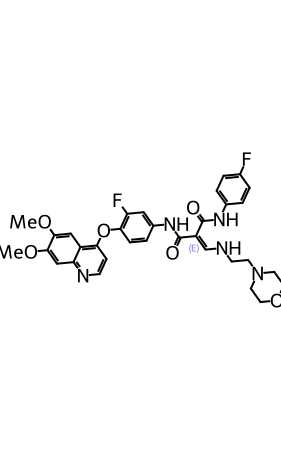 COc1cc2nccc(Oc3ccc(NC(=O)/C(=C/NCCN4CCOCC4)C(=O)Nc4ccc(F)cc4)cc3F)c2cc1OC